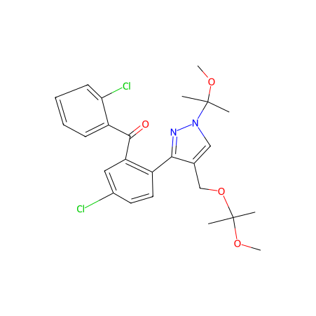 COC(C)(C)OCc1cn(C(C)(C)OC)nc1-c1ccc(Cl)cc1C(=O)c1ccccc1Cl